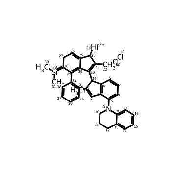 CC1=Cc2c(cccc2N2CCCc3ccccc32)C1C1=C(C)[CH]([Hf+2])C2=CCC(=[Si](C)C)C(c3ccccc3)=C21.[Cl-].[Cl-]